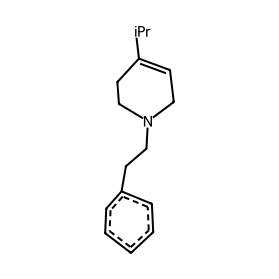 CC(C)C1=CCN(CCc2ccccc2)CC1